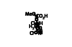 COCCN(C(=O)O)c1ccc(-c2[nH]c(Cn3c(C)cc(-c4cc(Cl)ccc4-n4cnnn4)cc3=O)nc2Cl)cc1